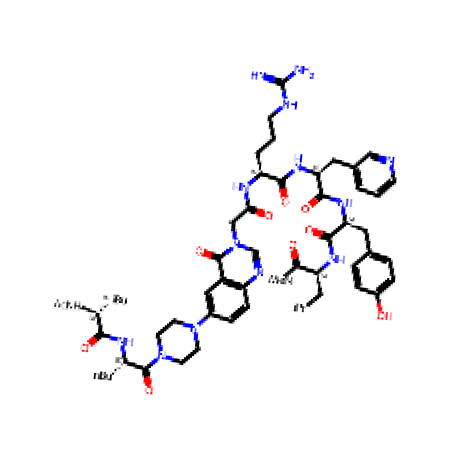 CCCC[C@H](NC(=O)[C@@H](NC(C)=O)[C@@H](C)CC)C(=O)N1CCN(c2ccc3ncn(CC(=O)N[C@@H](CCCNC(=N)N)C(=O)N[C@@H](Cc4cccnc4)C(=O)N[C@@H](Cc4ccc(O)cc4)C(=O)N[C@@H](CC(C)C)C(=O)NC)c(=O)c3c2)CC1